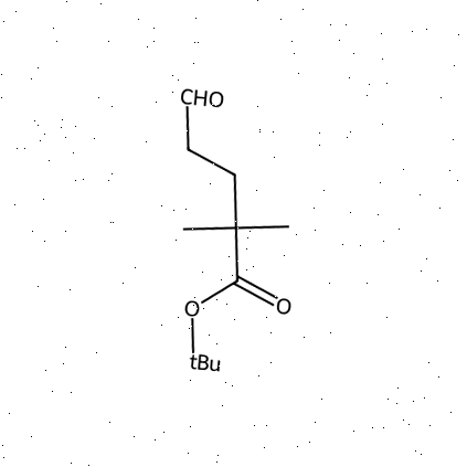 CC(C)(C)OC(=O)C(C)(C)CCC=O